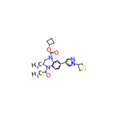 CC(=O)N1c2ccc(-c3cnn(C4CSC4)c3)cc2N(C(=O)OC2CCC2)CC1C